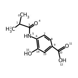 CC(C)C(=O)Nc1ccc(C(=O)O)cc1O